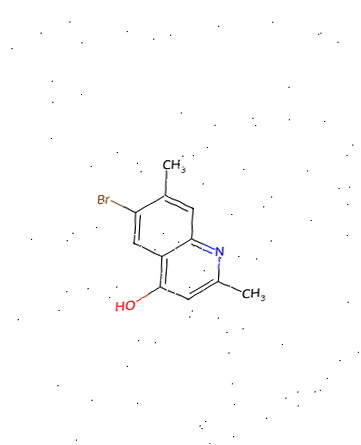 Cc1cc(O)c2cc(Br)c(C)cc2n1